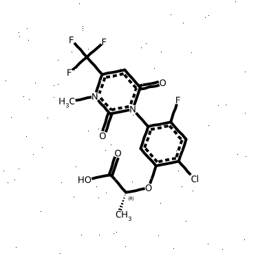 C[C@@H](Oc1cc(-n2c(=O)cc(C(F)(F)F)n(C)c2=O)c(F)cc1Cl)C(=O)O